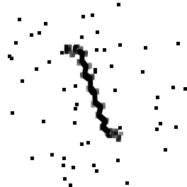 [CH2]CCCCCC=CC=CCCCC